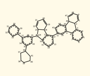 C1=CC2c3ccccc3-c3cc(-c4cccc5c4C4C=CC=CC4N5c4cc(-c5ccccc5)cc(C5CCCCC5)c4)ccc3C2C=C1